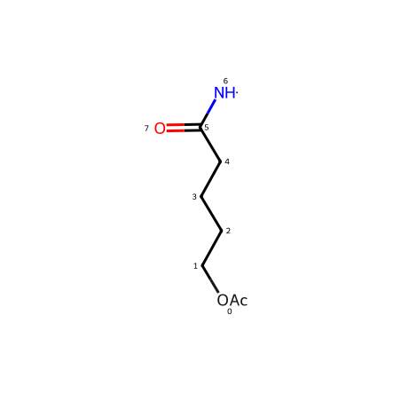 CC(=O)OCCCCC([NH])=O